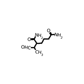 CC(C=O)C(CCCC(N)=O)C(N)=O